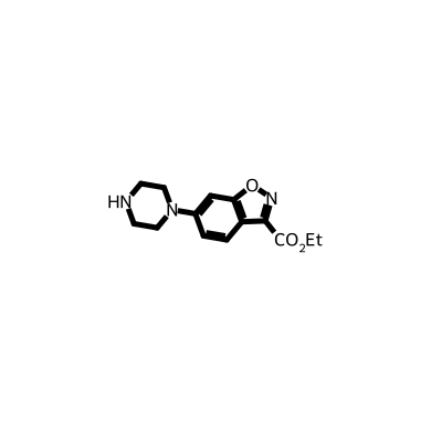 CCOC(=O)c1noc2cc(N3CCNCC3)ccc12